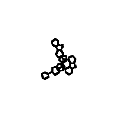 c1ccc(-c2ccc(N(c3ccccc3)c3cccc4sc5cccc(N(c6ccccc6)c6ccc7c(c6)sc6ccccc67)c5c34)cc2)cc1